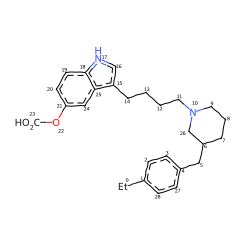 CCc1ccc(CC2CCCN(CCCCc3c[nH]c4ccc(OC(=O)O)cc34)C2)cc1